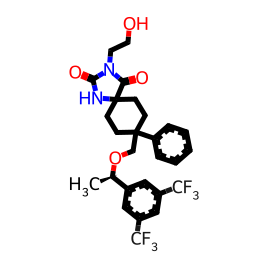 C[C@@H](OCC1(c2ccccc2)CCC2(CC1)NC(=O)N(CCO)C2=O)c1cc(C(F)(F)F)cc(C(F)(F)F)c1